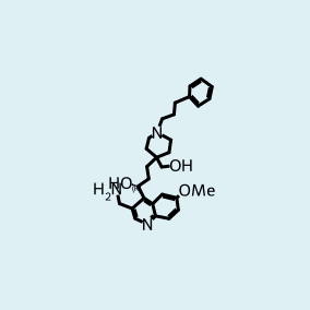 COc1ccc2ncc(CN)c([C@H](O)CCC3(CO)CCN(CCCc4ccccc4)CC3)c2c1